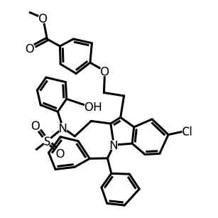 COC(=O)c1ccc(OCCc2c(CCN(c3ccccc3O)S(C)(=O)=O)n(C(c3ccccc3)c3ccccc3)c3ccc(Cl)cc23)cc1